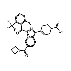 O=C(O)C1CC=C(c2nn(C(=O)c3c(Cl)cccc3C(F)(F)F)c3cc(C(=O)N4CCC4)ccc23)CC1